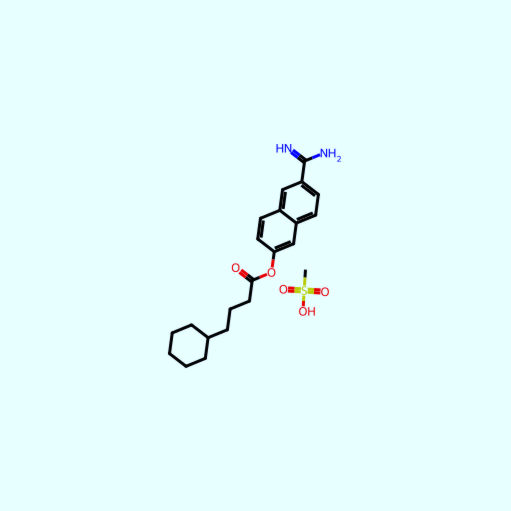 CS(=O)(=O)O.N=C(N)c1ccc2cc(OC(=O)CCCC3CCCCC3)ccc2c1